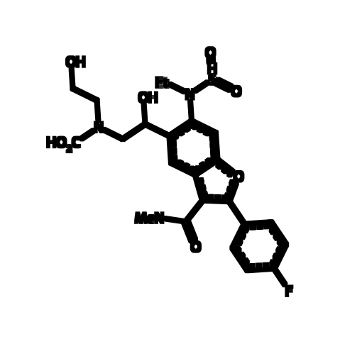 CCN(c1cc2oc(-c3ccc(F)cc3)c(C(=O)NC)c2cc1C(O)CN(CCO)C(=O)O)[SH](=O)=O